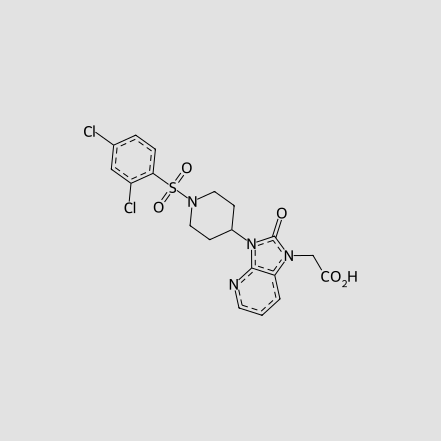 O=C(O)Cn1c(=O)n(C2CCN(S(=O)(=O)c3ccc(Cl)cc3Cl)CC2)c2ncccc21